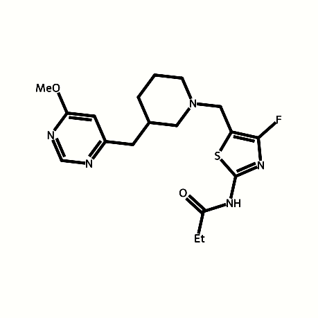 CCC(=O)Nc1nc(F)c(CN2CCCC(Cc3cc(OC)ncn3)C2)s1